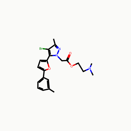 Cc1cccc(-c2ccc(-c3c(Br)c(C)nn3CC(=O)OCCN(C)C)o2)c1